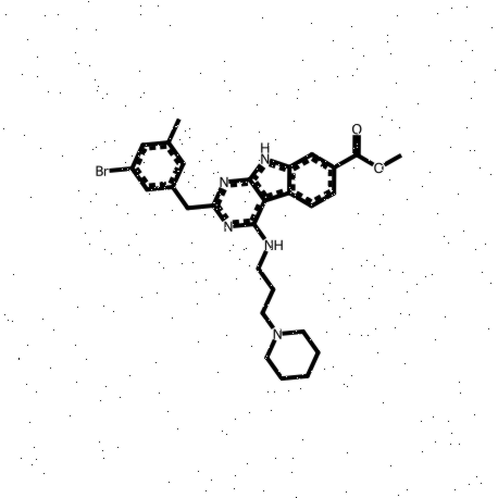 COC(=O)c1ccc2c(c1)[nH]c1nc(Cc3cc(C)cc(Br)c3)nc(NCCCN3CCCCC3)c12